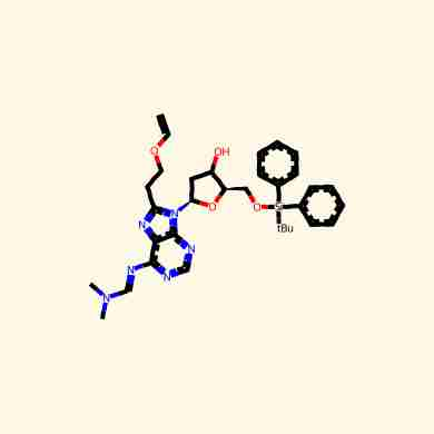 C=COCCc1nc2c(/N=C/N(C)C)ncnc2n1[C@H]1CC(O)[C@@H](CO[Si](c2ccccc2)(c2ccccc2)C(C)(C)C)O1